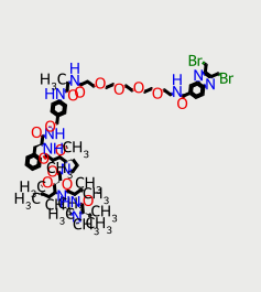 CC[C@H](C)[C@@H]([C@@H](CC(=O)N1CCC[C@H]1[C@H](OC)[C@@H](C)C(=O)N[C@@H](Cc1ccccc1)C(=O)NOCc1ccc(NC(=O)[C@@H](C)NC(=O)CCOCCOCCOCCOCCNC(=O)c2ccc3nc(CBr)c(CBr)nc3c2)cc1)OC)N(C)C(=O)[C@@H](NC(=O)[C@H](C(C)C)N(C)C)C(C)C